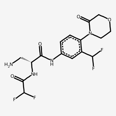 NC[C@@H](NC(=O)C(F)F)C(=O)Nc1ccc(N2CCOCC2=O)c(C(F)F)c1